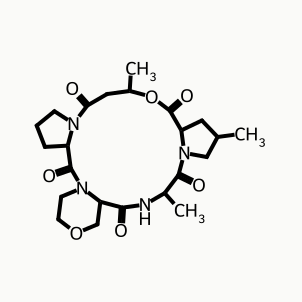 CC1CC2C(=O)OC(C)CC(=O)N3CCCC3C(=O)N3CCOCC3C(=O)NC(C)C(=O)N2C1